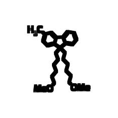 COCCCCCCC1(CCCCCCOC)c2ccccc2-c2cc(C)ccc21